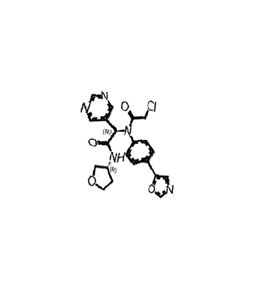 O=C(N[C@@H]1CCOC1)[C@@H](c1cncnc1)N(C(=O)CCl)c1ccc(-c2cnco2)cc1